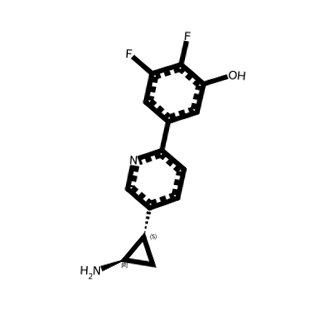 N[C@@H]1C[C@H]1c1ccc(-c2cc(O)c(F)c(F)c2)nc1